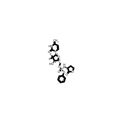 C=C1C=CN([C@@H]2O[C@H](CO[P@@](=O)(N[C@H]3CCOC3=O)Oc3ccccc3)[C@@H](O)C2(F)F)C(=O)N1